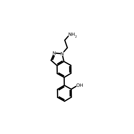 NCCn1ncc2cc(-c3ccccc3O)ccc21